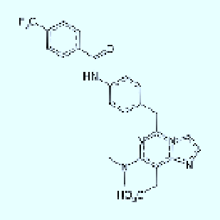 CN(C)c1nc(Cc2ccc(NC(=O)c3ccc(C(F)(F)F)cc3)cc2)n2ccnc2c1CC(=O)O